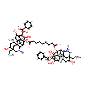 CCN1CC2(COC)C(O)CC(OC)C34C5CC6(O)C(CO)C(O)C(OC(=O)CCCCCCCC(=O)OC78C(O)C(OC)C9(O)CC(C7C9OC(=O)c7ccccc7)C79C(OC)CC(O)C%10(COC)CN(CC)C7C8C(OC)C%109)(C5C6OC(=O)c5ccccc5)C(C(OC)C23)C14